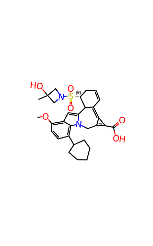 COc1ccc(C2CCCCC2)c2c1cc1n2CC2=C(C(=O)O)C2=C2C=CC[C@@H](S(=O)(=O)N3CC(C)(O)C3)C21